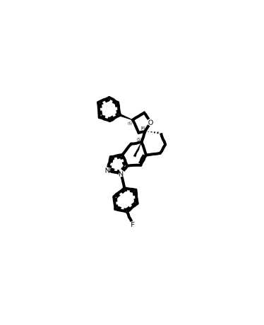 C[C@]12Cc3cnn(-c4ccc(F)cc4)c3C=C1CCC[C@@]21C[C@@H](c2ccccc2)CO1